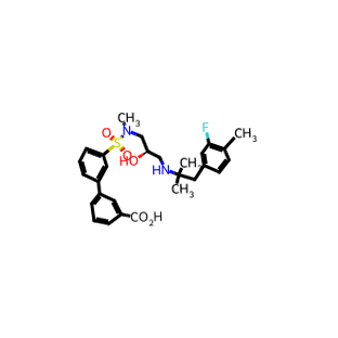 Cc1ccc(CC(C)(C)NC[C@@H](O)CN(C)S(=O)(=O)c2cccc(-c3cccc(C(=O)O)c3)c2)cc1F